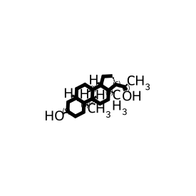 C[C@H](O)[C@H]1CC[C@H]2[C@@H]3CC[C@H]4C[C@@H](O)CC[C@]4(C)[C@H]3CC[C@]12C